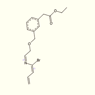 C=C/C=C(Br)\N=C/COCc1cccc(CC(=O)OCC)c1